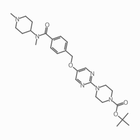 CN1CCC(N(C)C(=O)c2ccc(COc3cnc(N4CCN(C(=O)OC(C)(C)C)CC4)nc3)cc2)CC1